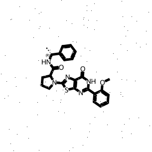 COc1ccccc1-c1nc2sc(N3CCCC3C(=O)N[C@H](C)c3ccccc3)nc2c(=O)[nH]1